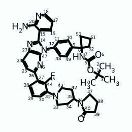 CC(C)(C)OC(=O)NC1(c2ccc(-n3c(-c4cccnc4N)nc4ccc(-c5cccc(N6CCC(N7CCCC7=O)CC6)c5F)nc43)cc2)CCC1